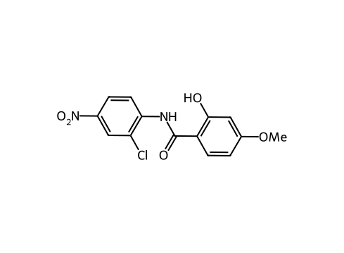 COc1ccc(C(=O)Nc2ccc([N+](=O)[O-])cc2Cl)c(O)c1